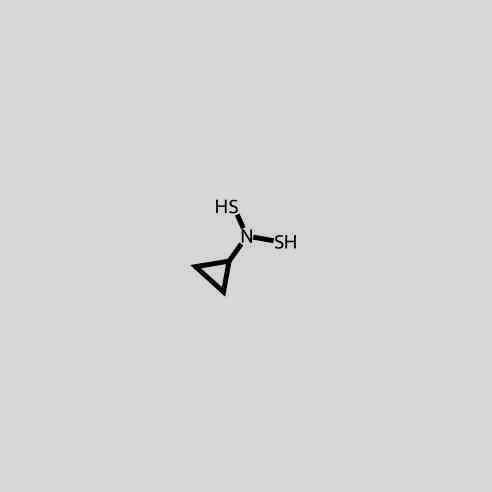 SN(S)C1CC1